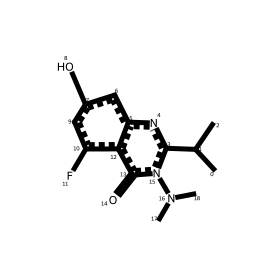 CC(C)c1nc2cc(O)cc(F)c2c(=O)n1N(C)C